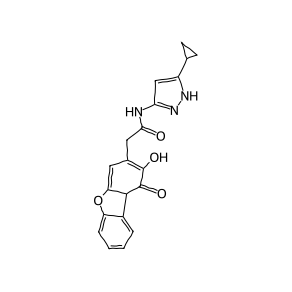 O=C(CC1=C(O)C(=O)C2C(=C1)Oc1ccccc12)Nc1cc(C2CC2)[nH]n1